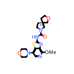 COc1ncc(N2CCOCC2)c2sc(NC(=O)N3CC[C@]4(CCOC4)C3)nc12